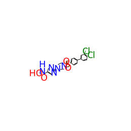 O=C(NO)c1cnc(N2CCN(S(=O)(=O)c3ccc(-c4ccc(Cl)c(Cl)c4)cc3)CC2)nc1